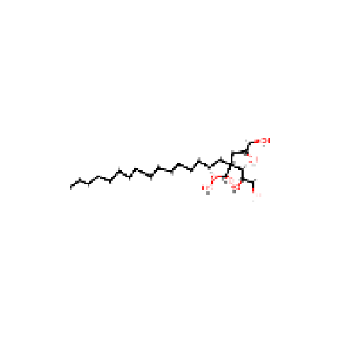 CCCCCCCCCCCCCCCCC(CC(O)CO)(CC(O)CO)C(=O)OO